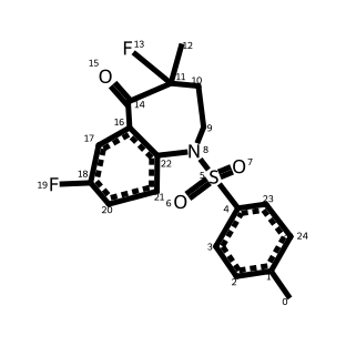 Cc1ccc(S(=O)(=O)N2CCC(C)(F)C(=O)c3cc(F)ccc32)cc1